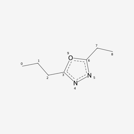 CCCc1nnc(CC)o1